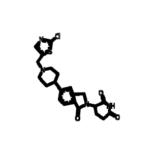 O=C1CCC(N2Cc3cc(C4CCN(Cc5cnc(Cl)s5)CC4)ccc3C2=O)C(=O)N1